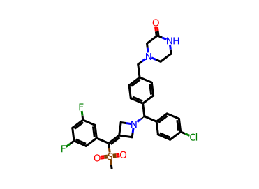 CS(=O)(=O)C(=C1CN([C@H](c2ccc(Cl)cc2)c2ccc(CN3CCNC(=O)C3)cc2)C1)c1cc(F)cc(F)c1